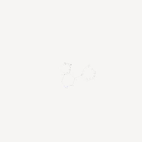 c1ccc(C2CNCc3sccc32)cc1